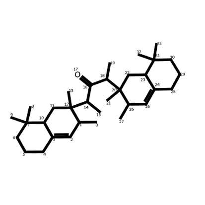 CC1C=C2CCCC(C)(C)C2CC1(C)C(C)C(=O)C(C)C1(C)CC2C(=CC1C)CCCC2(C)C